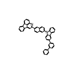 c1ccc(-c2cccc(-c3ccc4c(c3)c3ccccc3n4-c3ccc4cc(-c5cc6c7c(cccc7n5)-c5ccccc5-6)ccc4c3)c2)cc1